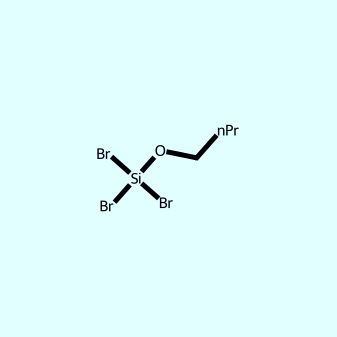 CCCCO[Si](Br)(Br)Br